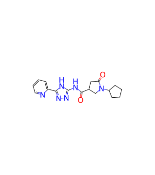 O=C(Nc1nnc(-c2ccccn2)[nH]1)C1CC(=O)N(C2CCCC2)C1